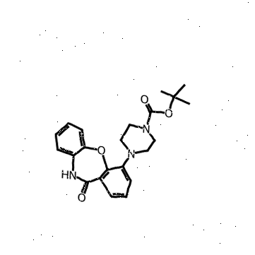 CC(C)(C)OC(=O)N1CCN(c2cccc3c2Oc2ccccc2NC3=O)CC1